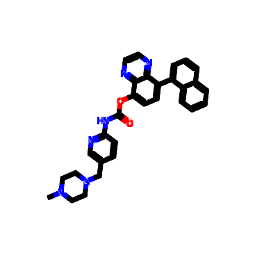 CN1CCN(Cc2ccc(NC(=O)Oc3ccc(-c4cccc5ccccc45)c4nccnc34)nc2)CC1